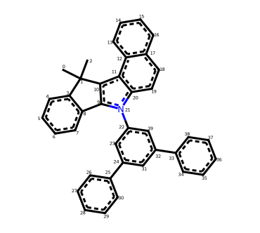 CC1(C)c2ccccc2-c2c1c1c3ccccc3ccc1n2-c1cc(-c2ccccc2)cc(-c2ccccc2)c1